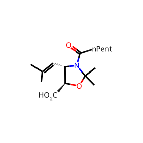 CCCCCC(=O)N1[C@@H](C=C(C)C)[C@H](C(=O)O)OC1(C)C